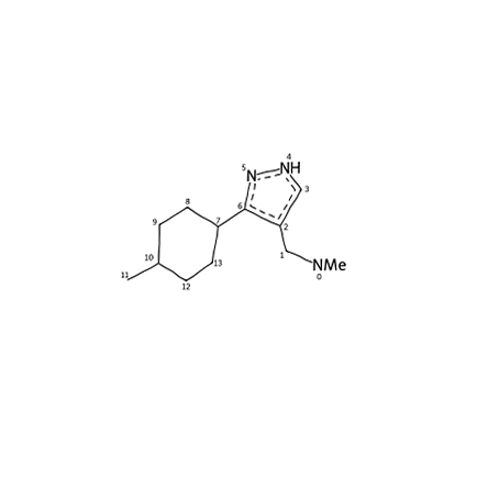 CNCc1c[nH]nc1C1CCC(C)CC1